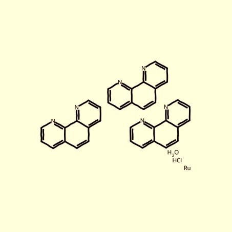 Cl.O.[Ru].c1cnc2c(c1)ccc1cccnc12.c1cnc2c(c1)ccc1cccnc12.c1cnc2c(c1)ccc1cccnc12